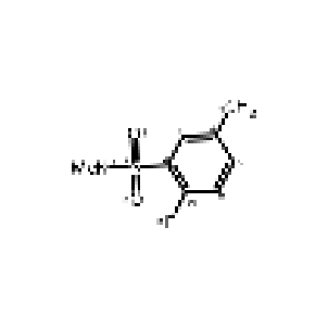 CNS(=O)(=O)c1cc(C)ccc1F